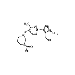 Cc1nc(-c2cnn(C)c2CN)ccc1O[C@H]1CCC[C@H](C(=O)O)C1